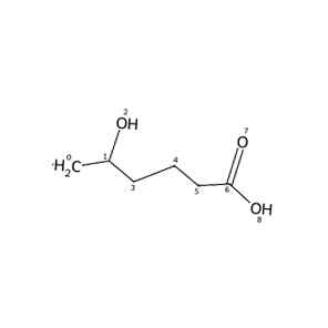 [CH2]C(O)CCCC(=O)O